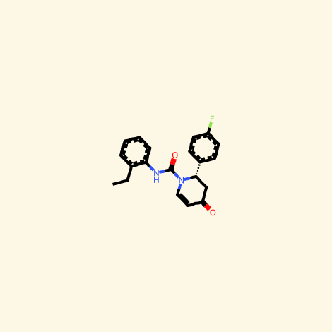 CCc1ccccc1NC(=O)N1C=CC(=O)C[C@H]1c1ccc(F)cc1